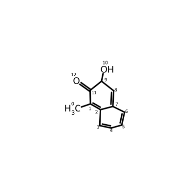 CC1=c2ccccc2=CC(O)C1=O